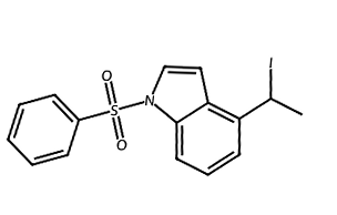 CC(I)c1cccc2c1ccn2S(=O)(=O)c1ccccc1